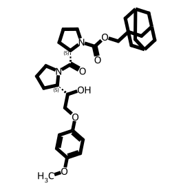 COc1ccc(OCC(O)[C@@H]2CCCN2C(=O)[C@@H]2CCCN2C(=O)OCC23CC4CC(CC(C4)C2)C3)cc1